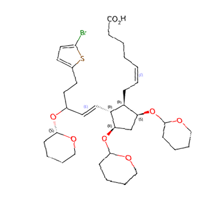 O=C(O)CCC/C=C\C[C@@H]1[C@@H](/C=C/C(CCc2ccc(Br)s2)O[C@H]2CCCCO2)[C@H](OC2CCCCO2)C[C@@H]1OC1CCCCO1